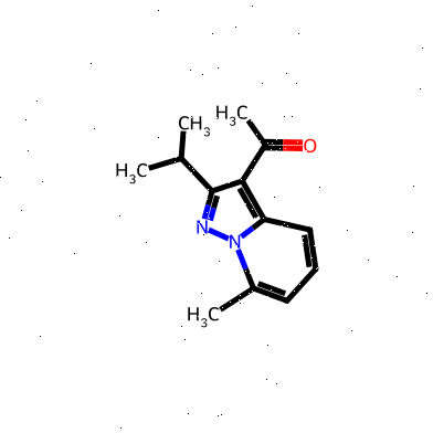 CC(=O)c1c(C(C)C)nn2c(C)cccc12